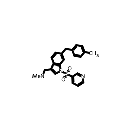 CNCc1cn(S(=O)(=O)c2cccnc2)c2cc(Cc3ccc(C)cc3)ccc12